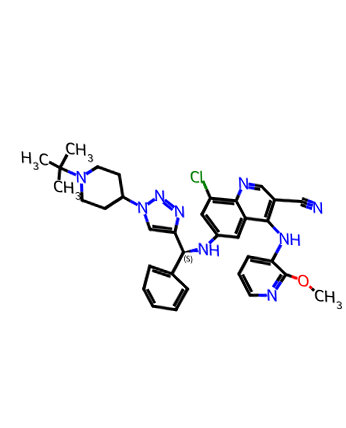 COc1ncccc1Nc1c(C#N)cnc2c(Cl)cc(N[C@@H](c3ccccc3)c3cn(C4CCN(C(C)(C)C)CC4)nn3)cc12